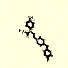 CC(=O)N(CCN1CCC(Cc2ccc(F)cc2)CC1)c1ccc(C)cc1